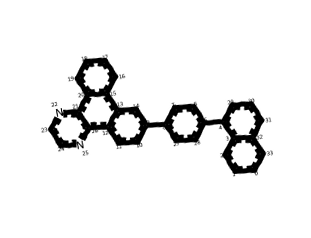 c1ccc2c(-c3ccc(-c4ccc5c(c4)c4ccccc4c4nccnc54)cc3)cccc2c1